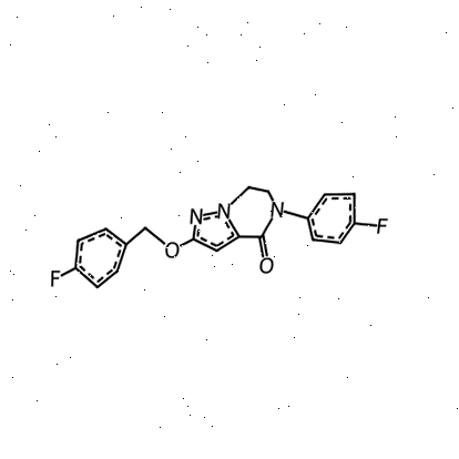 O=C1c2cc(OCc3ccc(F)cc3)nn2CCN1c1ccc(F)cc1